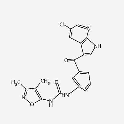 Cc1noc(NC(=O)Nc2cccc(C(=O)c3c[nH]c4ncc(Cl)cc34)c2)c1C